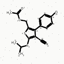 CC(=O)OCc1sc(SC(C)C)c(C#N)c1-c1ccc(Cl)cc1